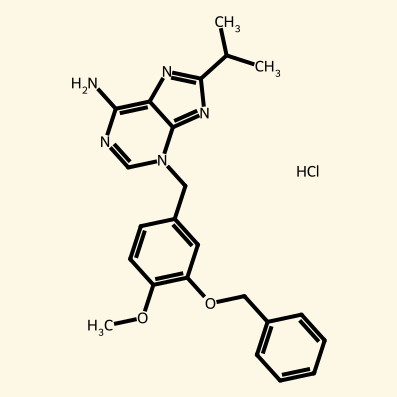 COc1ccc(Cn2cnc(N)c3nc(C(C)C)nc2-3)cc1OCc1ccccc1.Cl